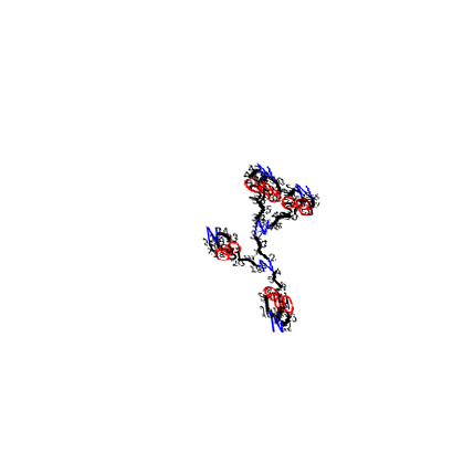 C(CCN(CCC[Si]12OCCN(CCO1)CCO2)CCC[Si]12OCCN(CCO1)CCO2)CN(CCC[Si]12OCCN(CCO1)CCO2)CCC[Si]12OCCN(CCO1)CCO2